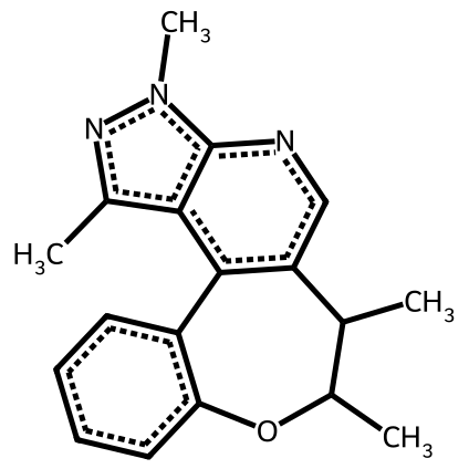 Cc1nn(C)c2ncc3c(c12)-c1ccccc1OC(C)C3C